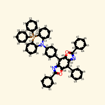 c1ccc(-c2nc3c(-c4ccc(N5c6ccccc6S(c6ccccc6)(c6ccccc6)c6ccccc65)cc4)c4oc(-c5ccccc5)nc4c(-c4ccccc4)c3o2)cc1